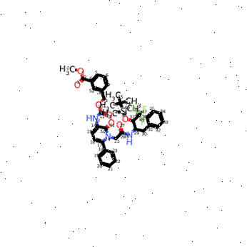 COC(=O)c1cccc(COC(=O)Nc2ccc(-c3ccccc3)n(CC(=O)NC(Cc3ccccc3)C(O[Si](C)(C)C(C)(C)C)C(F)(F)F)c2=O)c1